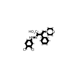 O=C(O)C(=N\Nc1ccc(Cl)c(Cl)c1)/C(=C/N1CCOCC1)c1ccccc1